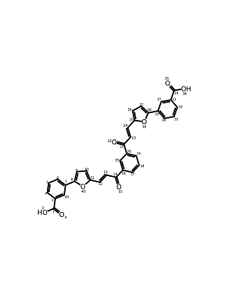 O=C(O)c1cccc(-c2ccc(/C=C/C(=O)c3cccc(C(=O)/C=C/c4ccc(-c5cccc(C(=O)O)c5)o4)c3)o2)c1